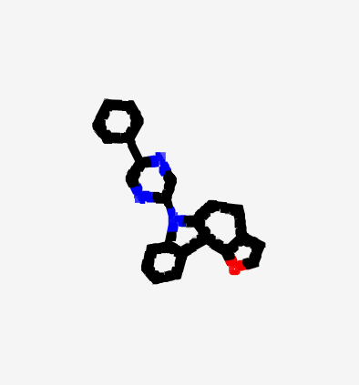 c1ccc(-c2cnc(-n3c4ccccc4c4c5occc5ccc43)cn2)cc1